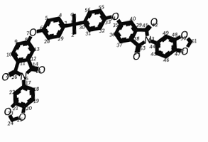 CC(C)(c1ccc(Oc2ccc3c(c2)C(=O)N(c2ccc4c(c2)OCO4)C3=O)cc1)c1ccc(Oc2ccc3c(c2)C(=O)N(c2ccc4c(c2)OCO4)C3=O)cc1